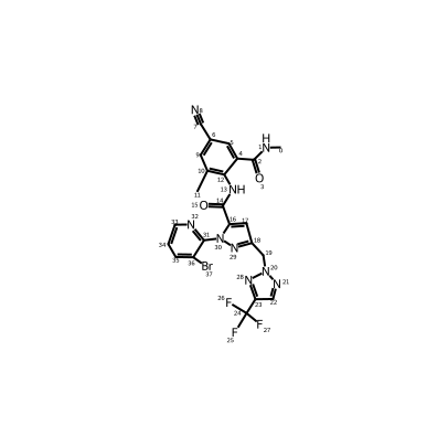 CNC(=O)c1cc(C#N)cc(C)c1NC(=O)c1cc(Cn2ncc(C(F)(F)F)n2)nn1-c1ncccc1Br